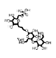 O=P(O)(O)OCC1OC(CCCOC2OC(CO)C(OC3OC(CO)C(O)C(O)C3O)C(O)C2O)C(O)C(O)C1O.[NaH]